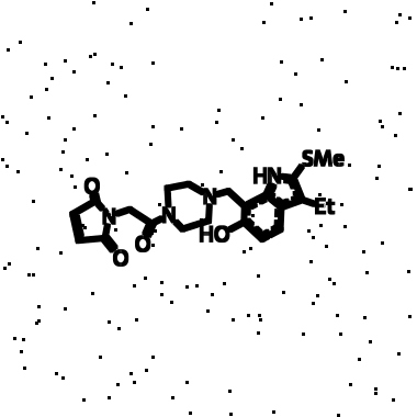 CCc1c(SC)[nH]c2c(CN3CCN(C(=O)CN4C(=O)C=CC4=O)CC3)c(O)ccc12